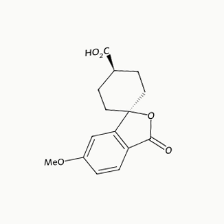 COc1ccc2c(c1)[C@]1(CC[C@H](C(=O)O)CC1)OC2=O